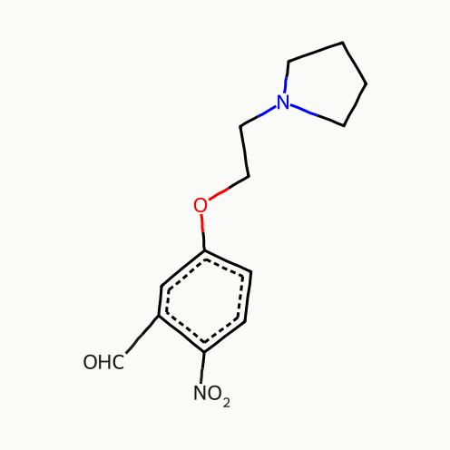 O=Cc1cc(OCCN2CCCC2)ccc1[N+](=O)[O-]